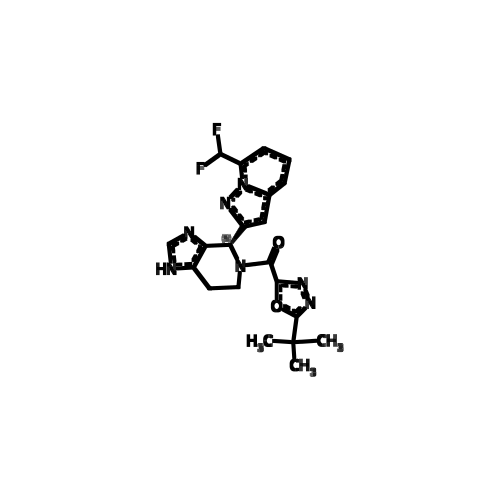 CC(C)(C)c1nnc(C(=O)N2CCc3[nH]cnc3[C@H]2c2cc3cccc(C(F)F)n3n2)o1